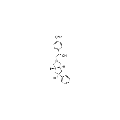 COc1ccc(C(O)CN2C[C@@H]3C[C@@](O)(c4ccccc4)C[C@@H]3C2)cc1